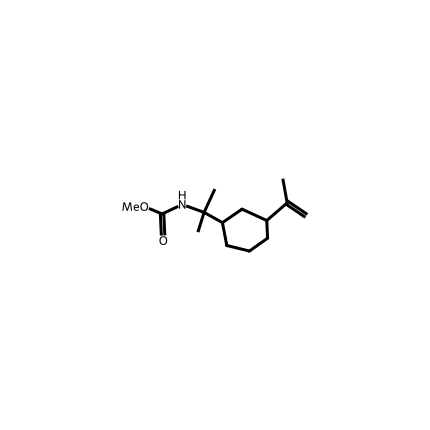 C=C(C)C1CCCC(C(C)(C)NC(=O)OC)C1